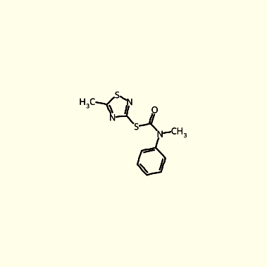 Cc1nc(SC(=O)N(C)c2ccccc2)ns1